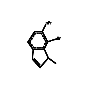 CCCc1ccc2c(c1Br)C(C)C=C2